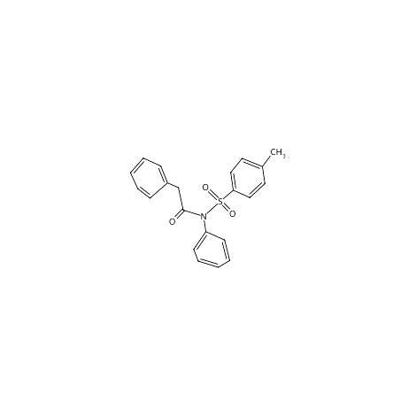 Cc1ccc(S(=O)(=O)N(C(=O)Cc2ccccc2)c2ccccc2)cc1